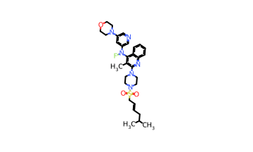 Cc1c(N2CCN(S(=O)(=O)CC=CCC(C)C)CC2)nc2ccccc2c1N(F)c1cncc(N2CCOCC2)c1